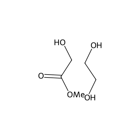 COC(=O)CO.OCCO